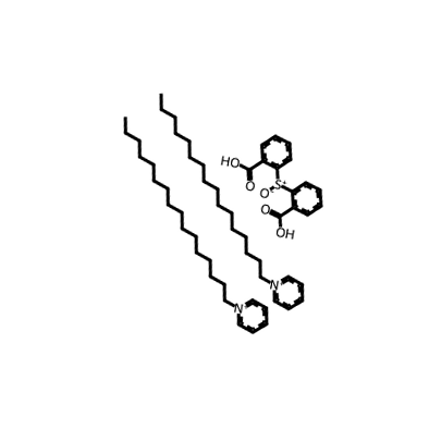 CCCCCCCCCCCCCCCC[n+]1ccccc1.CCCCCCCCCCCCCCCC[n+]1ccccc1.O=C(O)c1ccccc1[S+]([O-])c1ccccc1C(=O)O